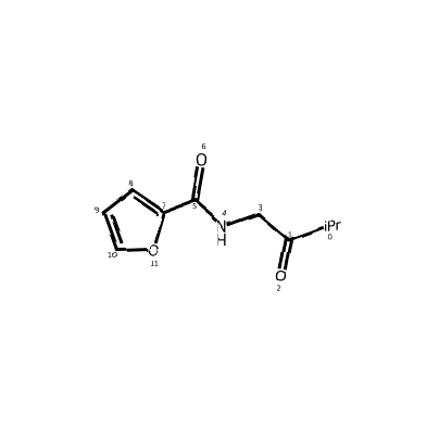 CC(C)C(=O)CNC(=O)c1ccco1